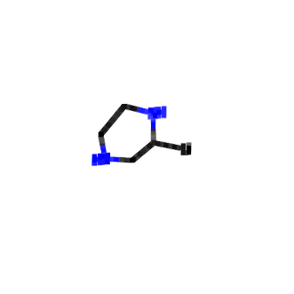 [Li][CH]1CNCCN1